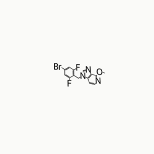 COc1nccc2c1ncn2Cc1c(F)cc(Br)cc1F